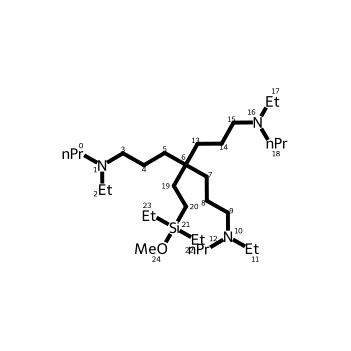 CCCN(CC)CCCC(CCCN(CC)CCC)(CCCN(CC)CCC)CC[Si](CC)(CC)OC